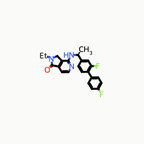 CCN1Cc2c(ccnc2N[C@@H](C)c2ccc(-c3ccc(F)cc3)c(F)c2)C1=O